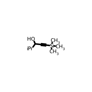 CC(C)C(O)C#C[Si](C)(C)C